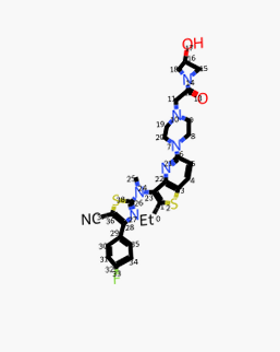 CCc1sc2ccc(N3CCN(CC(=O)N4CC(O)C4)CC3)nc2c1N(C)c1nc(-c2ccc(F)cc2)c(C#N)s1